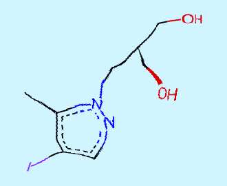 Cc1c(I)cnn1C[C@H](O)CO